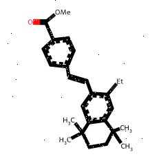 CCc1cc2c(cc1/C=C/c1ccc(C(=O)OC)cc1)C(C)(C)CCC2(C)C